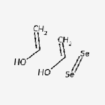 C=CO.C=CO.[Se]=[Se]